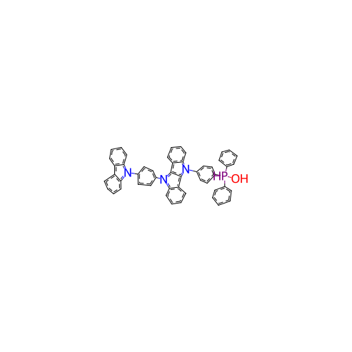 O[PH](c1ccccc1)(c1ccccc1)c1ccc(-n2c3ccccc3c3c2c2ccccc2n3-c2ccc(-n3c4ccccc4c4ccccc43)cc2)cc1